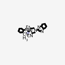 CCC1CN(c2cnc3ccccc3n2)CCN1/C(=N\C#N)Nc1ccccc1C